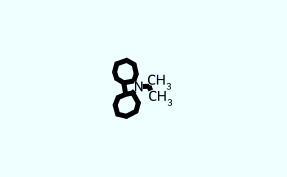 CC(C)N1C2CCCCCCC2C2CCCCCCC21